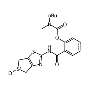 CCCCN(C)C(=O)Oc1ccccc1C(=O)Nc1nc2c(s1)C[S+]([O-])C2